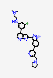 CN(C)CCNc1cc(F)cc(-c2ccnc3[nH]c(-c4n[nH]c5ccc(-c6cncc(CN7CCCC7)c6)cc45)cc23)c1